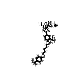 CC(N)(CO)c1nnc(-c2ccc(OCCCCCOc3ccc(C(F)(F)F)cc3)c(C(F)(F)F)c2)s1